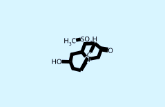 CS(=O)(=O)O.O=C1CN2C3CC(O)CC2CC1C3